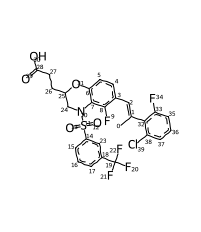 CC(=Cc1ccc2c(c1F)N(S(=O)(=O)c1cccc(C(F)(F)F)c1)CC(CCC(=O)O)O2)c1c(F)cccc1Cl